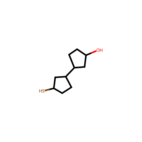 OC1CCC(C2CCC(S)C2)C1